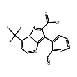 O=Cc1ccccc1-c1c(C(=O)O)nn2c(C(F)(F)F)ccnc12